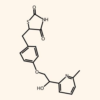 Cc1cccc(C(O)COc2ccc(CC3SC(=O)NC3=O)cc2)n1